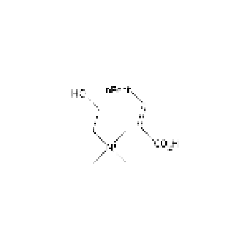 CCCCCC=CC(=O)O.C[N+](C)(C)CCO